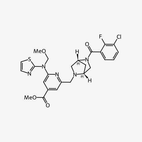 COCN(c1cc(C(=O)OC)cc(CN2C[C@H]3C[C@@H]2CN3C(=O)c2cccc(Cl)c2F)n1)c1nccs1